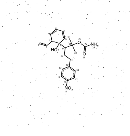 C=CC1C=CC=CC1(O)C(CCc1ccc([N+](=O)[O-])cc1)C(C)(C)OC(N)=O